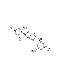 CO[C@H]1C[C@@H](Nc2nc3nn(-c4c(C)cc(C)cc4O)cc3s2)CN(C)C1